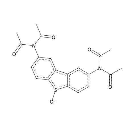 CC(=O)N(C(C)=O)c1ccc2c(c1)c1cc(N(C(C)=O)C(C)=O)ccc1[s+]2[O-]